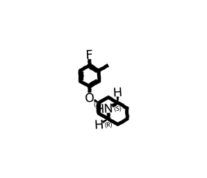 Cc1cc(O[C@@H]2C[C@H]3CCC[C@@H](C2)N3)ccc1F